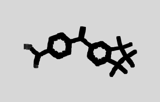 C=C(c1ccc(C(=O)O)cc1)c1ccc2c(c1)C(C)(C)C(C)(C)C2(C)C